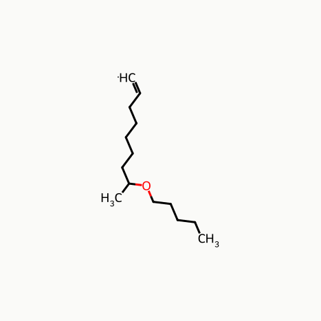 [CH]=CCCCCCC(C)OCCCCC